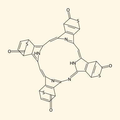 O=C1SC2C=CC1C1=C2c2cc3[nH]c(nc4nc(cc5[nH]c(cc1n2)c1c5C2C=CC1SC2=O)C1=C4C2C=CC1SC2=O)c1c3C2C=CC1SC2=O